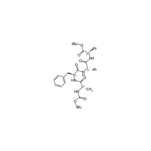 CC(C)[C@H](NC(=O)[C@H](Cc1ccccc1)NC(=O)[C@H](C)NC(=O)OC(C)(C)C)C(=O)N[C@@H](C(=O)OC(C)(C)C)C(C)C